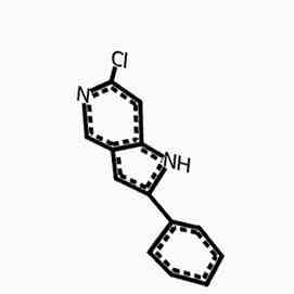 Clc1cc2[nH]c(-c3ccccc3)cc2cn1